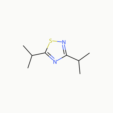 CC(C)c1nsc(C(C)C)n1